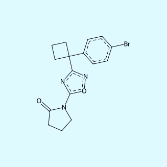 O=C1CCCN1c1nc(C2(c3ccc(Br)cc3)CCC2)no1